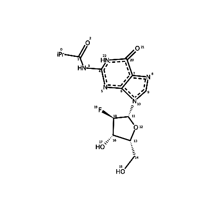 CC(C)C(=O)Nc1nc2c(ncn2[C@@H]2O[C@H](CO)[C@H](O)[C@H]2F)c(=O)[nH]1